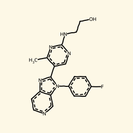 Cc1nc(NCCO)ncc1-c1nc2ccncc2n1-c1ccc(F)cc1